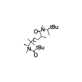 CC(CCC(C)(C)[C@H](C)N(C)C(=O)C(C)(C)C)C(=O)N(C)[C@H](C)C(C)(C)C